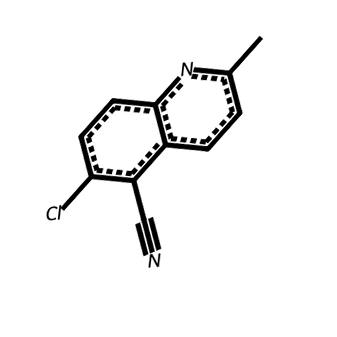 Cc1ccc2c(C#N)c(Cl)ccc2n1